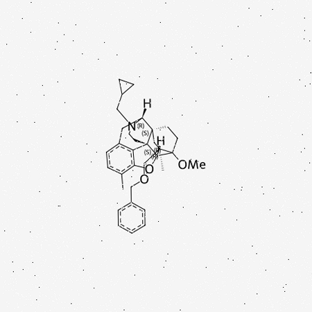 COC12CC[C@@]3(C[C@]1(C)COCc1ccccc1)[C@H]1Cc4ccc(C)c5c4[C@@]3(CCN1CC1CC1)[C@H]2O5